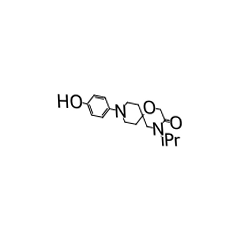 CC(C)N1CC2(CCN(c3ccc(O)cc3)CC2)OCC1=O